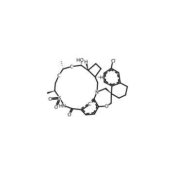 C[C@H]1CC[C@H](C)S(=O)(=O)NC(=O)c2ccc3c(c2)N(C[C@@H]2CC[C@H]2[C@@H](O)C1)C[C@@]1(CCCc2cc(Cl)ccc21)CO3